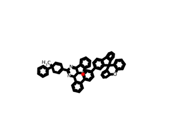 CC1(c2ccccc2)C=CC(C2=NC(c3ccccc3-c3ccc(-c4ccc5c(c4)C4(C6=CC=CCC6Oc6ccccc64)c4ccccc4-5)cc3)C3Sc4ccccc4C3=N2)=CC1